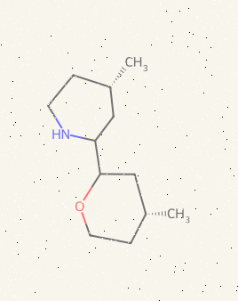 C[C@@H]1CCOC(C2C[C@@H](C)CCN2)C1